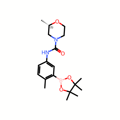 Cc1ccc(NC(=O)N2CCO[C@@H](C)C2)cc1B1OC(C)(C)C(C)(C)O1